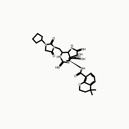 CC1(C)CCOc2c(C(=O)N[C@H]3CN4C(=N)NC(CN5C(=O)CN(C6CCCC6)C5=O)C5NC(=N)NC54C3(O)O)cccc21